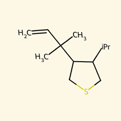 C=CC(C)(C)C1CSCC1C(C)C